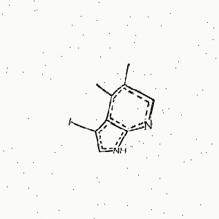 Cc1cnc2[nH]cc(I)c2c1C